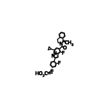 C[C@@H]1c2ccccc2CCN1C(=O)c1cc(C2CC2)n2nc(-c3ccc([C@@H]4C[C@H]4C(=O)O)cc3F)cc2c1F